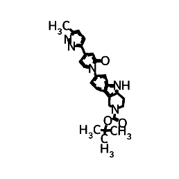 Cc1ccc(-c2ccn(-c3ccc4c5c([nH]c4c3)CCN(C(=O)OC(C)(C)C)C5)c(=O)c2)nn1